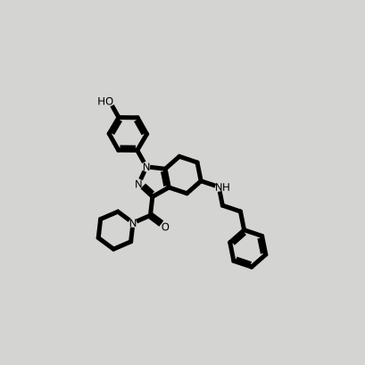 O=C(c1nn(-c2ccc(O)cc2)c2c1CC(NCCc1ccccc1)CC2)N1CCCCC1